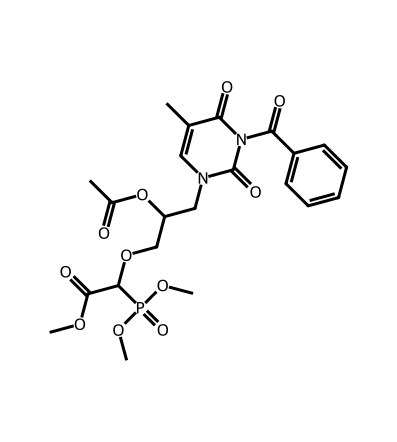 COC(=O)C(OCC(Cn1cc(C)c(=O)n(C(=O)c2ccccc2)c1=O)OC(C)=O)P(=O)(OC)OC